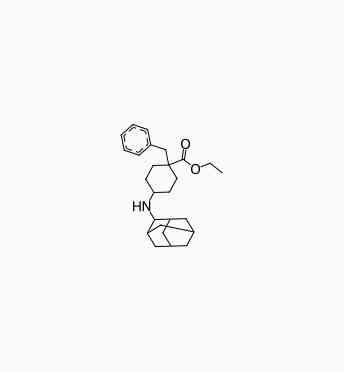 CCOC(=O)C1(Cc2ccccc2)CCC(NC2C3CC4CC(C3)CC2C4)CC1